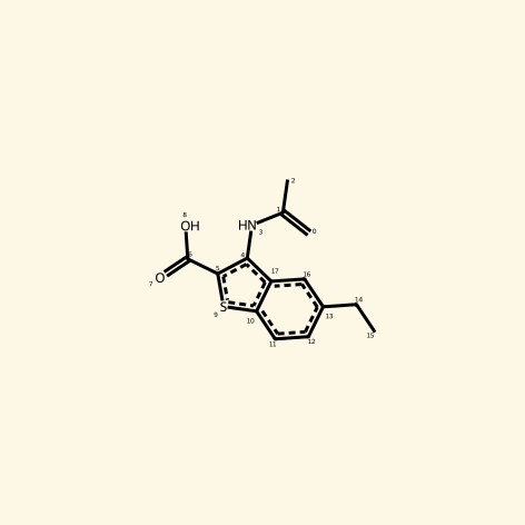 C=C(C)Nc1c(C(=O)O)sc2ccc(CC)cc12